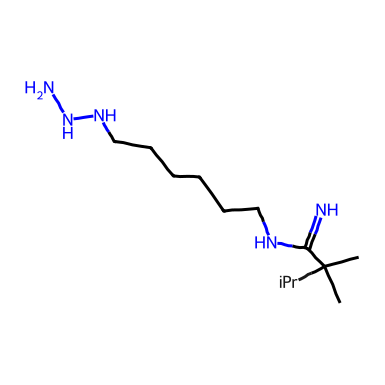 CC(C)C(C)(C)C(=N)NCCCCCCNNN